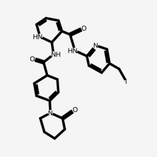 O=C(Nc1ccc(CI)cn1)C1=CC=CNC1NC(=O)C1C=CC(N2CCCCC2=O)=CC1